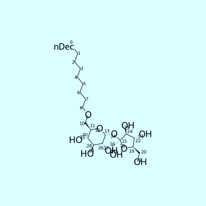 CCCCCCCCCCCCCCCCCCOC[C@H]1O[C@H](O[C@]2(CO)O[C@H](CO)[C@@H](O)[C@@H]2O)[C@H](O)[C@@H](O)[C@@H]1O